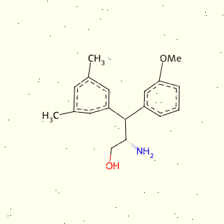 COc1cccc(C(c2cc(C)cc(C)c2)[C@H](N)CO)c1